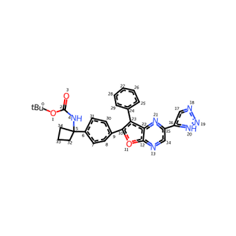 CC(C)(C)OC(=O)NC1(c2ccc(-c3oc4ncc(-c5cnn[nH]5)nc4c3-c3ccccc3)cc2)CCC1